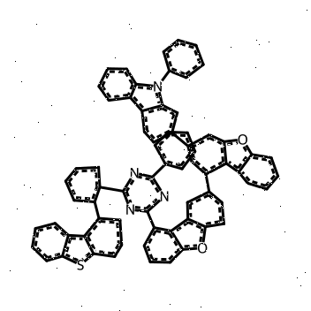 c1ccc(-c2nc(-c3ccccc3-c3cccc4sc5ccccc5c34)nc(-c3cccc4oc5ccc(-c6cc(-c7ccc8c9ccccc9n(-c9ccccc9)c8c7)cc7oc8ccccc8c67)cc5c34)n2)cc1